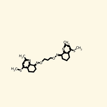 CSc1cc(C)nc2c1CCC/C2=N\OCCCO/N=C1\CCCc2c(SC)cc(C)nc21